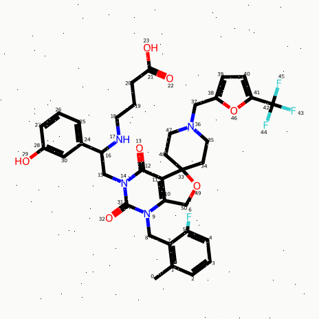 Cc1cccc(F)c1Cn1c2c(c(=O)n(CC(NCCCC(=O)O)c3cccc(O)c3)c1=O)C1(CCN(Cc3ccc(C(F)(F)F)o3)CC1)OC2